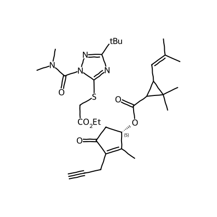 C#CCC1=C(C)[C@@H](OC(=O)C2C(C=C(C)C)C2(C)C)CC1=O.CCOC(=O)CSc1nc(C(C)(C)C)nn1C(=O)N(C)C